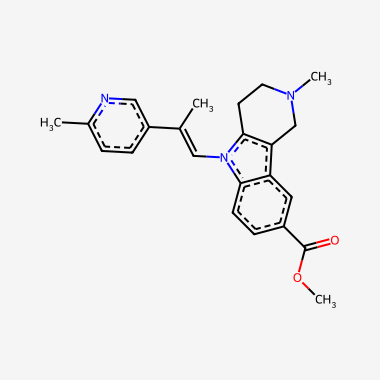 COC(=O)c1ccc2c(c1)c1c(n2C=C(C)c2ccc(C)nc2)CCN(C)C1